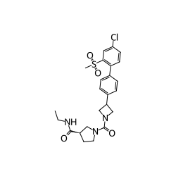 CCNC(=O)[C@@H]1CCN(C(=O)N2CC(c3ccc(-c4ccc(Cl)cc4S(C)(=O)=O)cc3)C2)C1